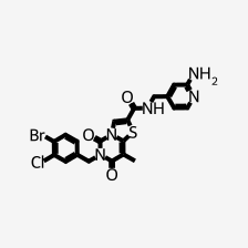 Cc1c(=O)n(Cc2ccc(Br)c(Cl)c2)c(=O)n2cc(C(=O)NCc3ccnc(N)c3)sc12